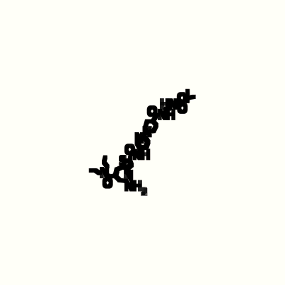 CCCN(CCC)C(=O)C1=Cc2sc(C(=O)Nc3ccc(N4CCC(C(=O)NCCNC(=O)OC(C)(C)C)CC4)nc3)cc2N=C(N)C1